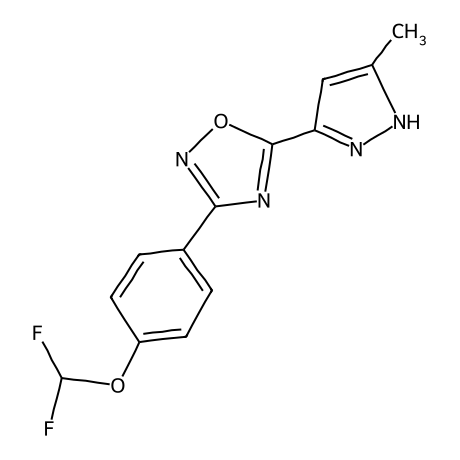 Cc1cc(-c2nc(-c3ccc(OC(F)F)cc3)no2)n[nH]1